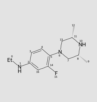 CCNc1ccc(N2C[C@@H](C)N[C@@H](C)C2)c(F)c1